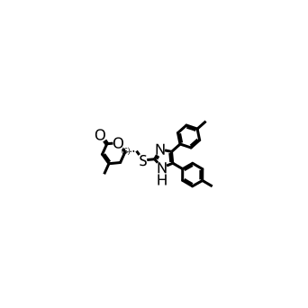 CC1=CC(=O)O[C@H](CSc2nc(-c3ccc(C)cc3)c(-c3ccc(C)cc3)[nH]2)C1